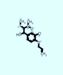 C=CCOc1ccc(C(O)C(SC)[S+](C)[O-])cc1Cl